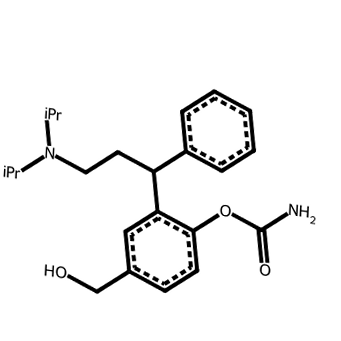 CC(C)N(CCC(c1ccccc1)c1cc(CO)ccc1OC(N)=O)C(C)C